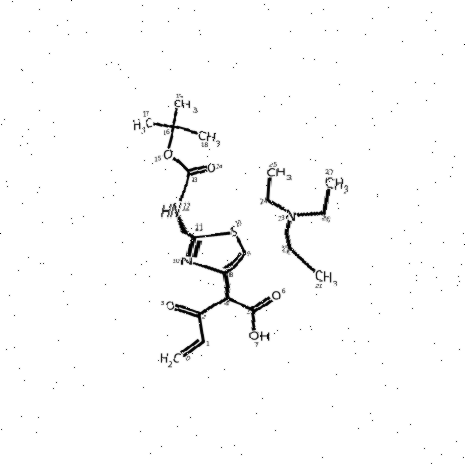 C=CC(=O)C(C(=O)O)c1csc(NC(=O)OC(C)(C)C)n1.CCN(CC)CC